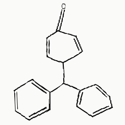 O=C1C=CC(C(c2ccccc2)c2ccccc2)C=C1